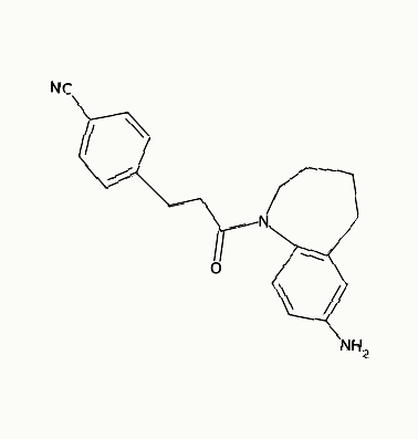 N#Cc1ccc(CCC(=O)N2CCCCc3cc(N)ccc32)cc1